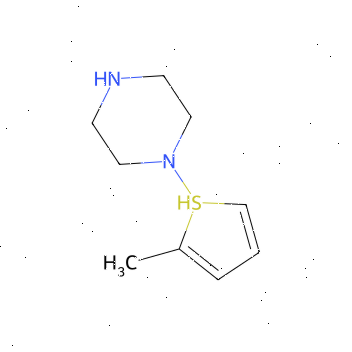 CC1=CC=C[SH]1N1CCNCC1